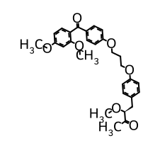 COc1ccc(C(=O)c2ccc(OCCCOc3ccc(C[C@H](OC)C(C)=O)cc3)cc2)c(OC)c1